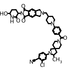 CC1CC2(CCN(C(=O)c3ccc(N4CCC(CN5Cc6cc7c(cc6C5)C(=O)N(C5CCC(O)NC5=O)C7=O)CC4)cc3)CC2)CN1c1ccc(C#N)c(Cl)c1